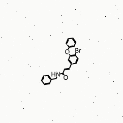 O=C(/C=C/c1ccc(Br)c(Oc2ccccc2)c1)NCc1ccccc1